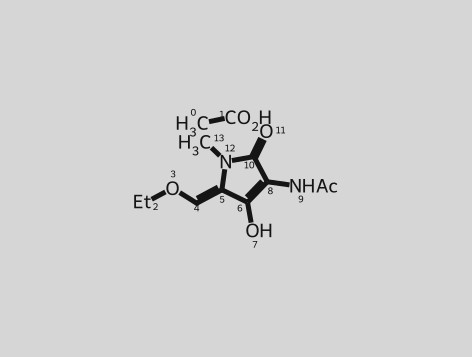 CC(=O)O.CCOC=C1C(O)=C(NC(C)=O)C(=O)N1C